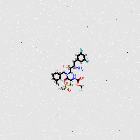 CCCCS(=O)(=O)C[C@H](NC(=O)OCF)C(=O)N(Cc1cccc(CC)c1)C[C@@H](O)[C@@H](N)Cc1cc(F)cc(F)c1